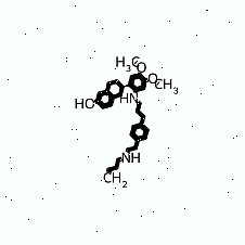 C=CCCNCCc1ccc(CCCNc2cc(OC)c(OC)cc2[C@@H]2CCc3cc(O)ccc3C2)cc1